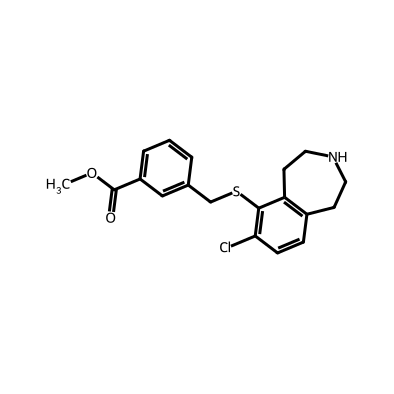 COC(=O)c1cccc(CSc2c(Cl)ccc3c2CCNCC3)c1